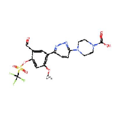 COc1cc(OS(=O)(=O)C(F)(F)F)c(C=O)cc1-c1ccc(N2CCN(C(=O)O)CC2)nn1